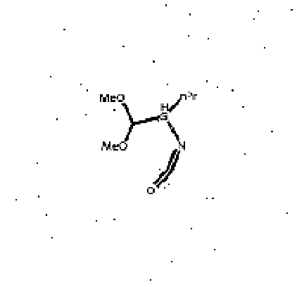 CCC[SiH](N=C=O)C(OC)OC